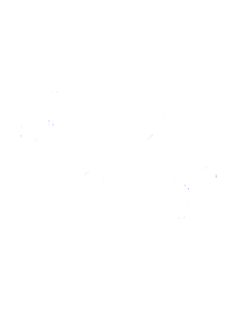 FC(F)(F)c1ccc(-c2c3ccc(-c4ccc5c(c4)c4ccccc4n5-c4ccccc4)cc3c(-c3ccc(C(F)(F)F)cc3)c3ccc(-c4ccc5c(c4)c4ccccc4n5-c4ccccc4)cc23)cc1